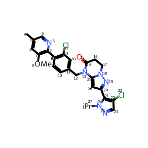 COc1cc(C)cnc1-c1ccc(CN2C(=O)CCn3nc(-c4c(Cl)cnn4C(C)C)cc32)cc1Cl